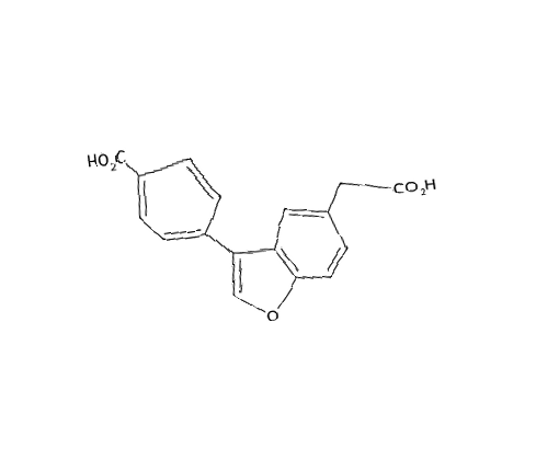 O=C(O)Cc1ccc2occ(-c3ccc(C(=O)O)cc3)c2c1